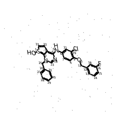 OS1=C2C(=C(Nc3ccc(OCc4cccc(F)c4)c(Cl)c3)N=CN2Cc2ccccc2)C=C1